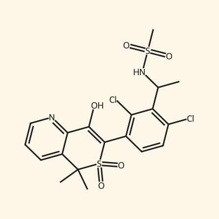 CC(NS(C)(=O)=O)c1c(Cl)ccc(C2=C(O)c3ncccc3C(C)(C)S2(=O)=O)c1Cl